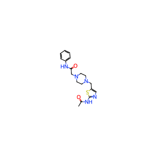 CC(=O)Nc1ncc(CN2CCN(CC(=O)Nc3ccccc3)CC2)s1